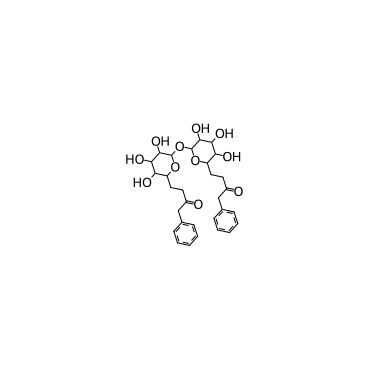 O=C(CCC1OC(OC2OC(CCC(=O)Cc3ccccc3)C(O)C(O)C2O)C(O)C(O)C1O)Cc1ccccc1